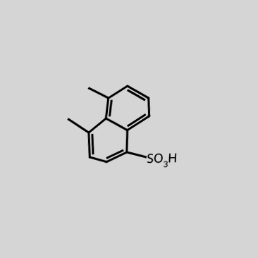 Cc1cccc2c(S(=O)(=O)O)ccc(C)c12